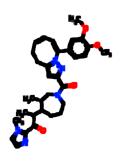 COc1ccc(/C2=C/C=C\CCc3cc(C(=O)N4CCCC(C(C)C(=O)c5nccn5C)[C@@H](C)C4)nn32)cc1OC